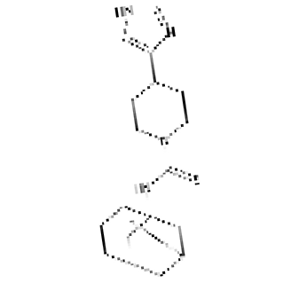 S=C(NC12CC3CC(CC(C3)C1)C2)N1CCC(c2c[nH]cn2)CC1